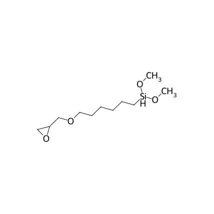 CO[SiH](CCCCCCOCC1CO1)OC